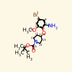 COc1cc(Br)cc(N)c1OC1CCN(C(=O)OC(C)(C)C)CC1